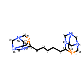 C(CCC1N2CN3CN(C2)CP1C3)CCC1N2CN3CN(C2)CP1C3